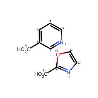 O=C(O)c1cccnc1.O=C(O)c1ncco1